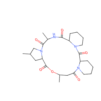 CC1CC2C(=O)OC(C)CC(=O)N3CCCCC3C(=O)N3CCCCC3C(=O)NC(C)C(=O)N2C1